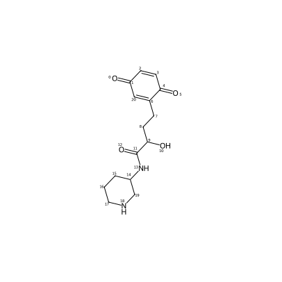 O=C1C=CC(=O)C(CCC(O)C(=O)NC2CCCNC2)=C1